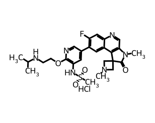 CC(C)NCCOc1ncc(-c2cc3c4c(cnc3cc2F)N(C)C(=O)C42CN(C)C2)cc1NS(C)(=O)=O.Cl